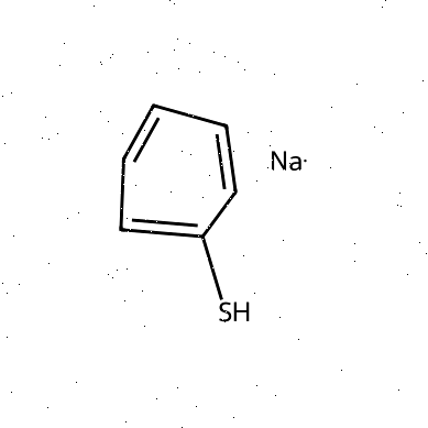 Sc1ccccc1.[Na]